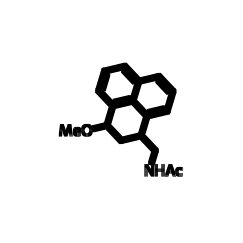 COC1CC(CNC(C)=O)c2cccc3cccc1c23